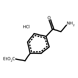 CCOC(=O)Cc1ccc(C(=O)CN)cc1.Cl